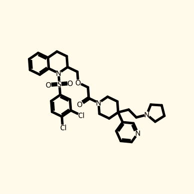 O=C(COCC1CCc2ccccc2N1S(=O)(=O)c1ccc(Cl)c(Cl)c1)N1CCC(CCN2CCCC2)(c2cccnc2)CC1